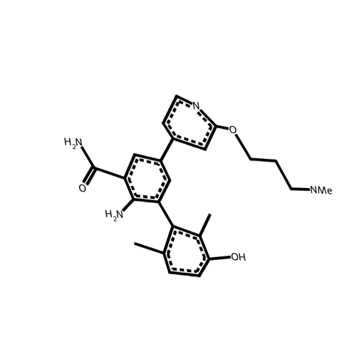 CNCCCOc1cc(-c2cc(C(N)=O)c(N)c(-c3c(C)ccc(O)c3C)c2)ccn1